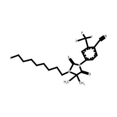 CC1(C)C(=O)N(c2ccc(C#N)c(C(F)(F)F)c2)C(=S)N1CCCCCCCCI